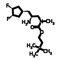 CN(C[C@H](N)C[C@H]1C[C@@H](F)[C@@H](F)C1)C(=O)OCC[Si](C)(C)C